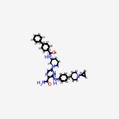 NC(=O)c1ncc(N2CCCC(NC(=O)c3ccc(-c4ccccc4)cc3)C2)nc1Nc1ccc(C2CCN(C3CC3)CC2)cc1